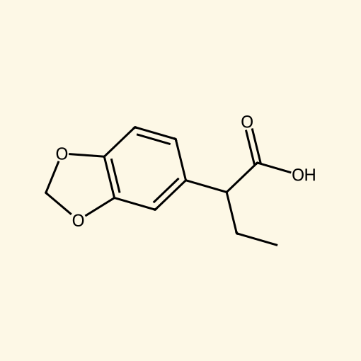 CCC(C(=O)O)c1ccc2c(c1)OCO2